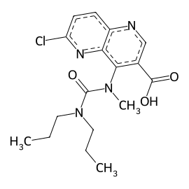 CCCN(CCC)C(=O)N(C)c1c(C(=O)O)cnc2ccc(Cl)nc12